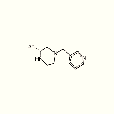 CC(=O)[C@@H]1CN(Cc2cccnc2)CCN1